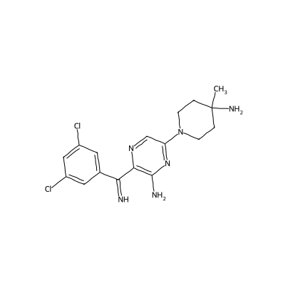 CC1(N)CCN(c2cnc(C(=N)c3cc(Cl)cc(Cl)c3)c(N)n2)CC1